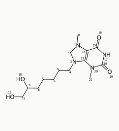 CN1CN(CCCCCC(O)CO)c2c1c(=O)[nH]c(=O)n2C